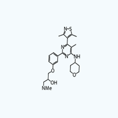 CNCC(O)COc1cccc(-c2nc(NC3CCOCC3)c(C)c(-c3c(C)nsc3C)n2)c1